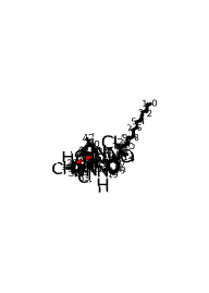 CCCCCCCCCCCC(Cl)C(=O)Nc1cccc(Nc2[nH]n(-c3c(Cl)cc(Cl)cc3Cl)c(=O)c2N=Nc2cc(C)cc(O)c2)c1